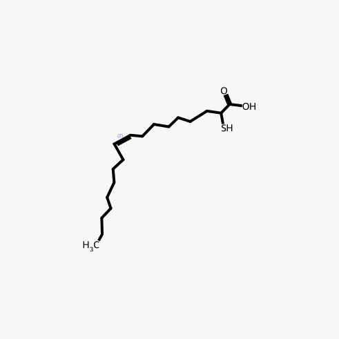 CCCCCCCC/C=C\CCCCCCC(S)C(=O)O